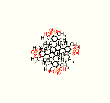 Cc1c(C)c(P(=O)(O)O)c(C)c(C)c1-c1c(C)c(-c2c(C)c(C)c(P(=O)(O)O)c(C)c2C)c2c(C)c(C)c3c(-c4c(C)c(C)c(P(=O)(O)O)c(C)c4C)c(C)c(-c4c(C)c(C)c(P(=O)(O)O)c(C)c4C)c4c(C)c(C)c1c2c43